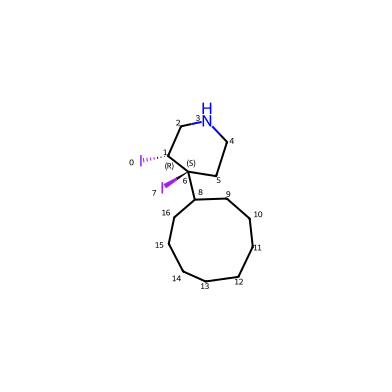 I[C@@H]1CNCC[C@]1(I)C1CCCCCCCC1